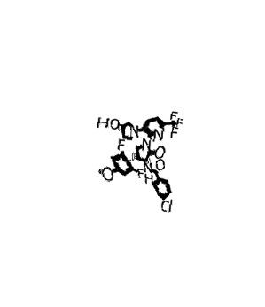 COc1cc(F)c([C@@H]2CN(c3nc(C(F)(F)F)ccc3N3CC[C@H](O)C3)C(=O)[C@H]2NC(=O)c2ccc(Cl)cc2)c(F)c1